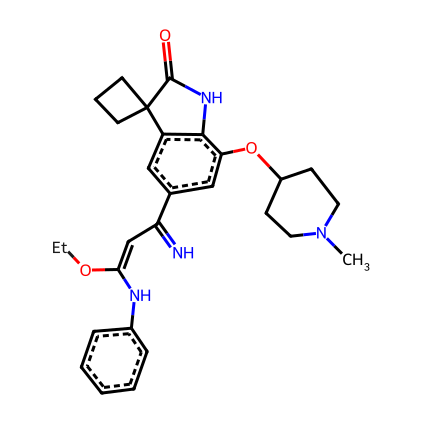 CCO/C(=C/C(=N)c1cc(OC2CCN(C)CC2)c2c(c1)C1(CCC1)C(=O)N2)Nc1ccccc1